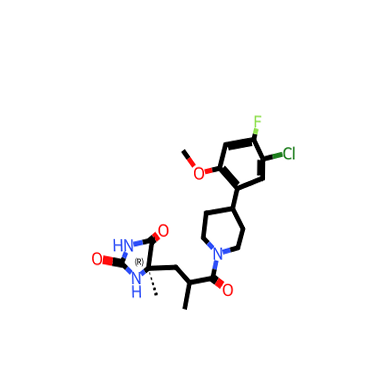 COc1cc(F)c(Cl)cc1C1CCN(C(=O)C(C)C[C@@]2(C)NC(=O)NC2=O)CC1